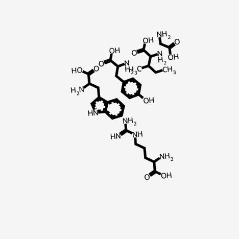 CCC(C)C(N)C(=O)O.N=C(N)NCCCC(N)C(=O)O.NC(Cc1c[nH]c2ccccc12)C(=O)O.NC(Cc1ccc(O)cc1)C(=O)O.NCC(=O)O